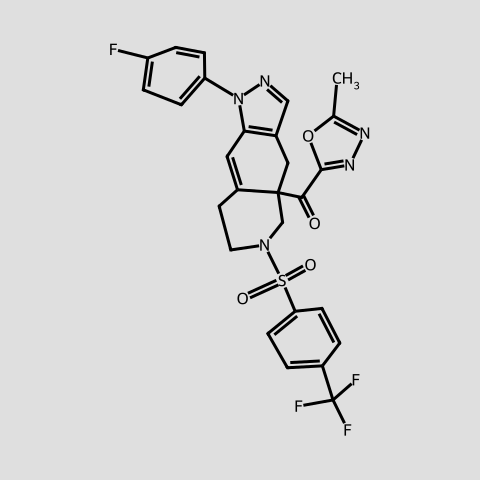 Cc1nnc(C(=O)C23Cc4cnn(-c5ccc(F)cc5)c4C=C2CCN(S(=O)(=O)c2ccc(C(F)(F)F)cc2)C3)o1